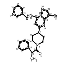 CC(C(=O)N1CCC(c2cc(NCc3cccnc3)n3ncc(Br)c3n2)CC1)c1ccccc1